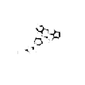 Cc1cccc(Cl)c1N1Cc2cnccc2N(C2CCN(C(=O)OC(C)(C)C)CC2)C1=O